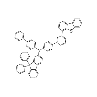 c1ccc(-c2ccc(N(c3ccc(-c4cccc(-c5cccc6c5sc5ccccc56)c4)cc3)c3ccc4c(c3)C(c3ccccc3)(c3ccccc3)c3ccccc3-4)cc2)cc1